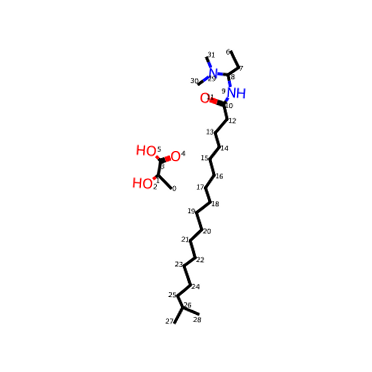 CC(O)C(=O)O.CCC(NC(=O)CCCCCCCCCCCCCCC(C)C)N(C)C